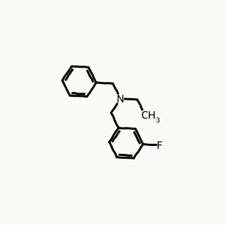 CCN(Cc1ccccc1)Cc1cccc(F)c1